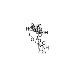 C=CCOC1C[C@H](n2cc(C)c(=O)[nH]c2=O)O[C@@H]1COP(=O)(O)OP(=O)(O)OP(=O)(O)O